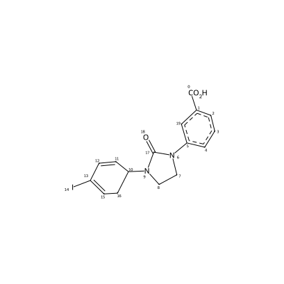 O=C(O)c1cccc(N2CCN(C3C=CC(I)=CC3)C2=O)c1